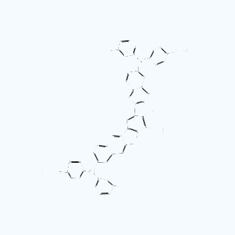 Cc1ccc(N(c2cccc(C)c2)c2ccc3cc4c(cc3c2)oc2c(C)c3oc5cc6cc(N(c7ccc(C)cc7)c7cccc(C)c7)ccc6cc5c3cc24)cc1